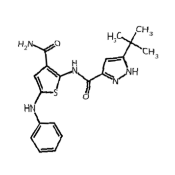 CC(C)(C)c1cc(C(=O)Nc2sc(Nc3ccccc3)cc2C(N)=O)n[nH]1